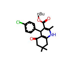 CCCCOC(=O)C1=C(C)NC2=C(C(=O)CC(C)(C)C2)C1c1ccc(Cl)cc1